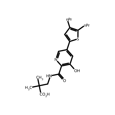 CCCc1cc(-c2cnc(C(=O)NCC(C)(C)C(=O)O)c(O)c2)sc1CCC